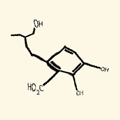 CC(O)Cc1ccc(O)c(O)c1C(=O)O